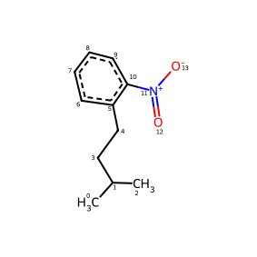 CC(C)CCc1ccc[c]c1[N+](=O)[O-]